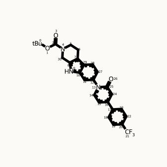 CC(C)(C)OC(=O)N1CCc2c([nH]c3cc(-n4ccc(-c5ccc(C(F)(F)F)cc5)cc4=O)ccc23)C1